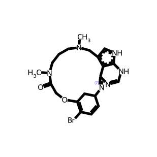 CN1CCCN(C)C(=O)COC2=C(Br)C=CC(C2)/N=C2\N=CNc3[nH]cc(c32)C1